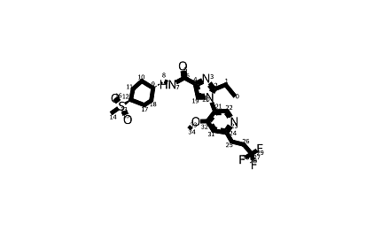 CCc1nc(C(=O)NC[C@H]2CC[C@H](S(C)(=O)=O)CC2)cn1-c1cnc(CCC(F)(F)F)cc1OC